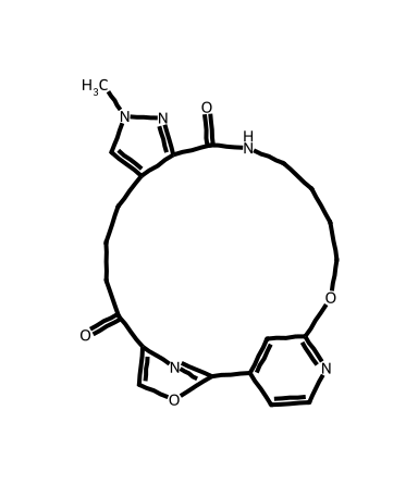 Cn1cc2c(n1)C(=O)NCCCCOc1cc(ccn1)-c1nc(co1)C(=O)CCC2